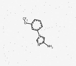 Nc1cn(-c2cccc(OC(F)(F)F)c2)cn1